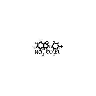 CCOC(=O)c1c(-c2ccc(F)cc2)oc2ccc(C)c([N+](=O)[O-])c12